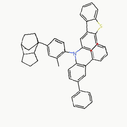 Cc1cc(C23CCC(C2)C2CCCC23)ccc1N(c1ccc2sc3ccccc3c2c1)c1ccc(-c2ccccc2)cc1-c1ccccc1